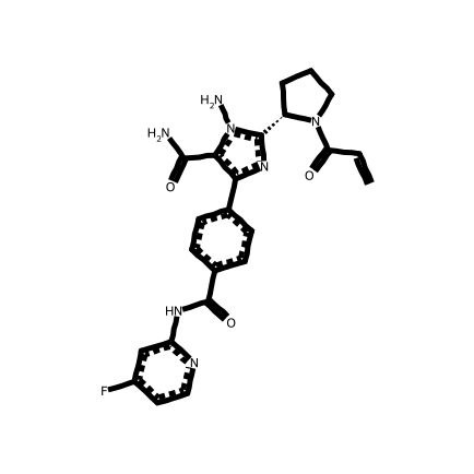 C=CC(=O)N1CCC[C@H]1c1nc(-c2ccc(C(=O)Nc3cc(F)ccn3)cc2)c(C(N)=O)n1N